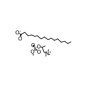 CCCCCCCCCCCCCCCC(=O)[O-].COS(=O)(=O)OC(C)C[N+](C)(C)C